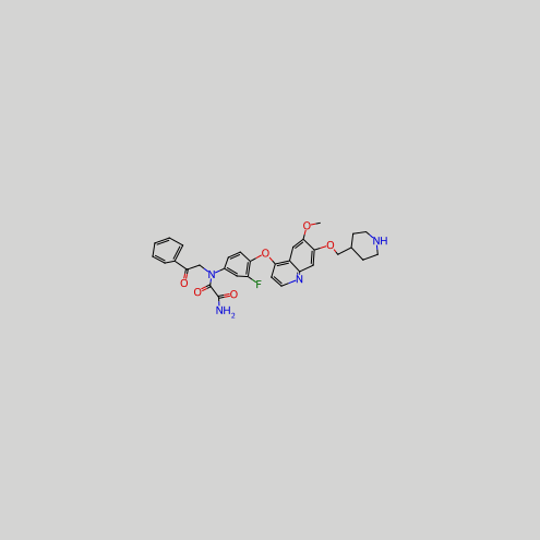 COc1cc2c(Oc3ccc(N(CC(=O)c4ccccc4)C(=O)C(N)=O)cc3F)ccnc2cc1OCC1CCNCC1